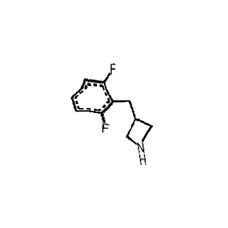 Fc1cccc(F)c1CC1CNC1